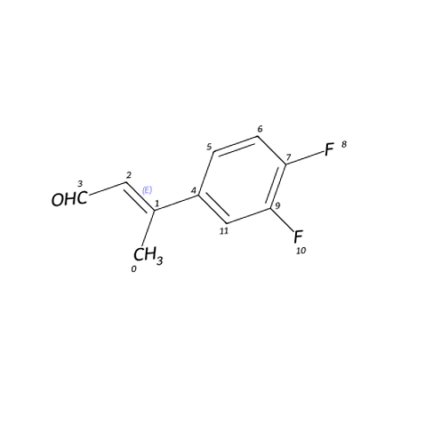 C/C(=C\C=O)c1ccc(F)c(F)c1